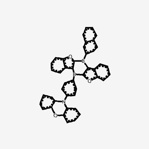 c1ccc2c(c1)Oc1ccccc1N2c1ccc(B2c3oc4ccccc4c3B(c3ccc4ccccc4c3)c3oc4ccccc4c32)cc1